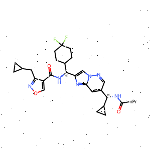 CCCC(=O)N[C@@H](c1cnn2cc([C@@H](NC(=O)c3conc3CC3CC3)C3CCC(F)(F)CC3)nc2c1)C1CC1